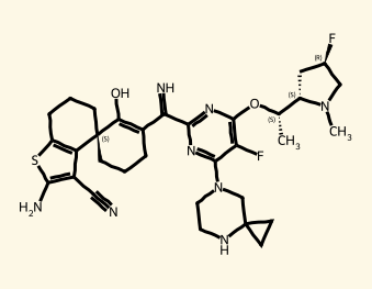 C[C@H](Oc1nc(C(=N)C2=C(O)[C@@]3(CCC2)CCCc2sc(N)c(C#N)c23)nc(N2CCNC3(CC3)C2)c1F)[C@@H]1C[C@@H](F)CN1C